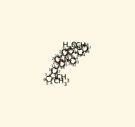 CC1(C)c2ccccc2-c2ccc(-c3ccc(N(c4ccccc4-c4ccccc4)c4ccccc4-c4cccc5c4-c4ccc6ccccc6c4C5(C)C)cc3)cc21